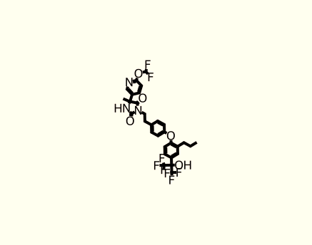 CCCc1cc(C(O)(C(F)(F)F)C(F)(F)F)ccc1Oc1ccc(CCN2C(=O)NC(C)(c3ccc(OC(F)F)nc3)C2=O)cc1